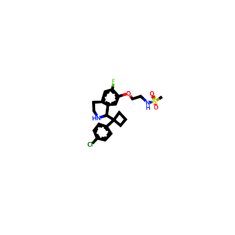 CS(=O)(=O)NCCOc1cc2c(cc1F)CCNC2C1(c2ccc(Cl)cc2)CCC1